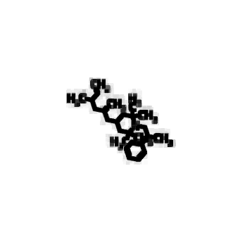 C=CC(C)CC(=C)CC1CC(C)(C)N(CC(C)c2ccccc2)C(C)(C)C1